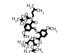 COc1ccc(C(=O)NC(CC(C)C)C(=O)OC(C)(C)C)c(SSc2cc(OC)ccc2C(=O)N(CCC(C)C)C(=O)OC(C)(C)C)c1